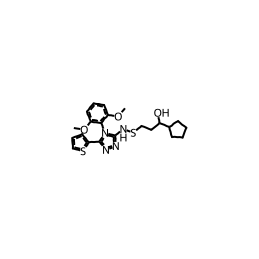 COc1cccc(OC)c1-n1c(NSCCC(O)C2CCCC2)nnc1-c1cccs1